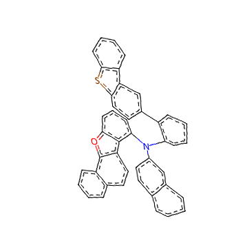 c1ccc(N(c2ccc3ccccc3c2)c2cccc3oc4c5ccccc5ccc4c23)c(-c2ccc3sc4ccccc4c3c2)c1